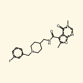 Cc1oc2ncn(C)c(=O)c2c1C(=O)NCC1CCN(Cc2cccc(F)c2)CC1